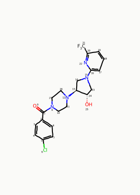 O=C(c1ccc(Cl)cc1)N1CCN([C@H]2CN(c3cccc(C(F)(F)F)n3)C[C@@H]2O)CC1